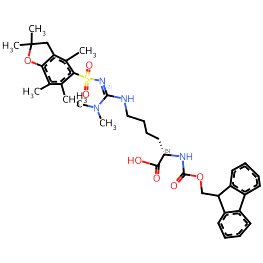 Cc1c(C)c(S(=O)(=O)/N=C(/NCCCC[C@H](NC(=O)OCC2c3ccccc3-c3ccccc32)C(=O)O)N(C)C)c(C)c2c1OC(C)(C)C2